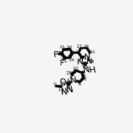 Cc1nnc(N2CCC(Nc3nc4n(n3)CCCC4c3ccc(F)c(F)c3)CC2)o1